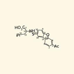 CC(=O)c1ccc2c(c1)oc1ccc(SNC(CC(C)C)C(=O)O)cc12